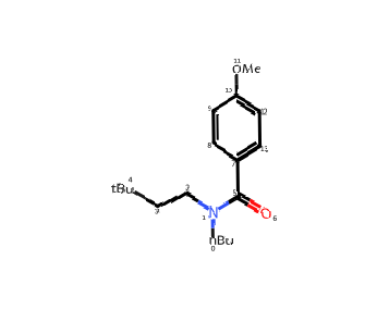 CCCCN(CCC(C)(C)C)C(=O)c1ccc(OC)cc1